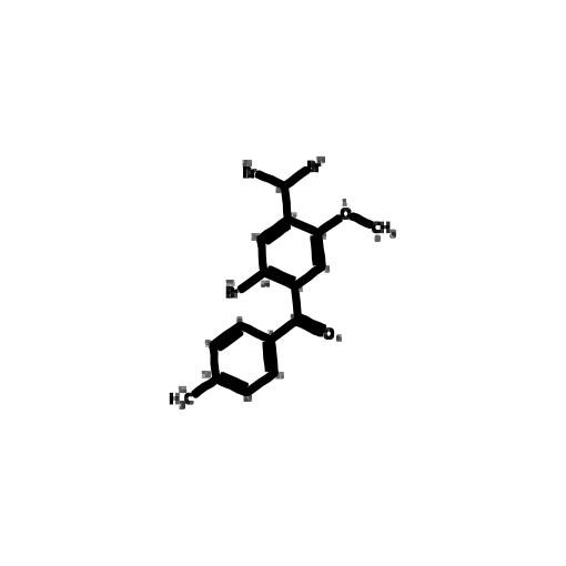 COc1cc(C(=O)c2ccc(C)cc2)c(Br)cc1C(Br)Br